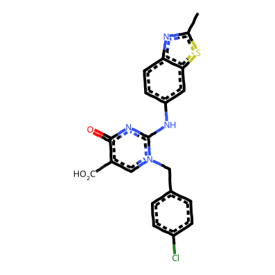 Cc1nc2ccc(Nc3nc(=O)c(C(=O)O)cn3Cc3ccc(Cl)cc3)cc2s1